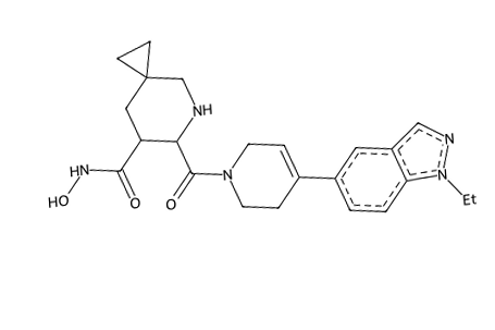 CCn1ncc2cc(C3=CCN(C(=O)C4NCC5(CC5)CC4C(=O)NO)CC3)ccc21